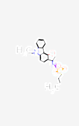 CCCCS(=O)(=O)O/N=C1\COc2c1ccc1c2c2ccccc2n1CC